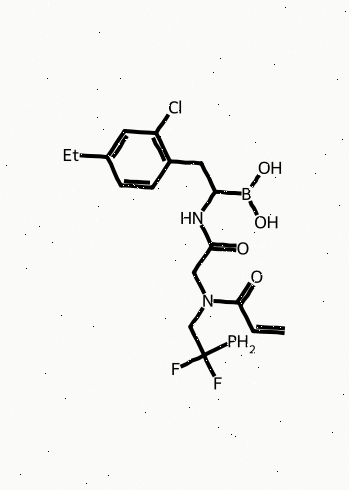 C=CC(=O)N(CC(=O)NC(Cc1ccc(CC)cc1Cl)B(O)O)CC(F)(F)P